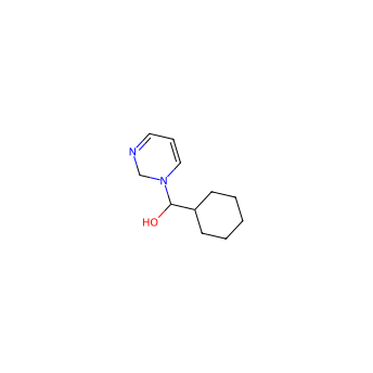 OC(C1CCCCC1)N1C=CC=NC1